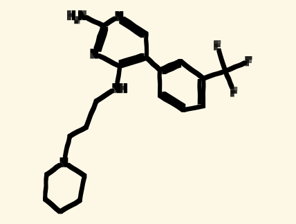 Nc1ncc(-c2cccc(C(F)(F)F)c2)c(NCCCN2CCCCC2)n1